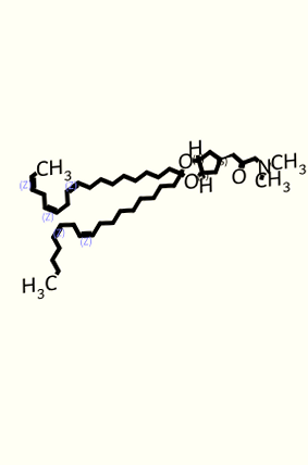 C/C=C\C/C=C\C/C=C\CCCCCCCCC1(CCCCCCCC/C=C\C/C=C\CCCC)O[C@H]2C[C@H](CC(=O)CN(C)C)C[C@H]2O1